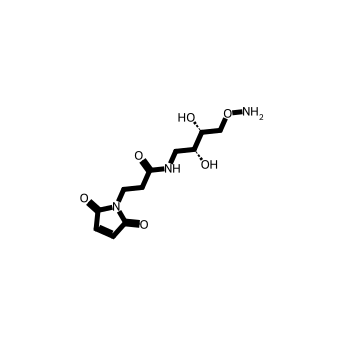 NOC[C@@H](O)[C@H](O)CNC(=O)CCN1C(=O)C=CC1=O